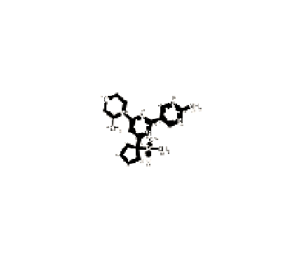 C[C@H]1COCCN1c1cc(C2(S(C)(=O)=O)CCCC2)nc(-c2cnc(N)nc2)n1